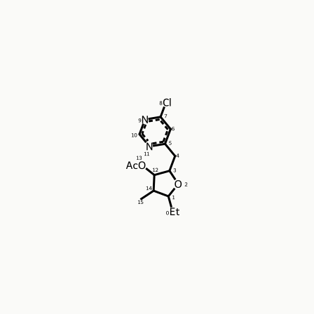 CCC1OC(Cc2cc(Cl)ncn2)C(OC(C)=O)C1C